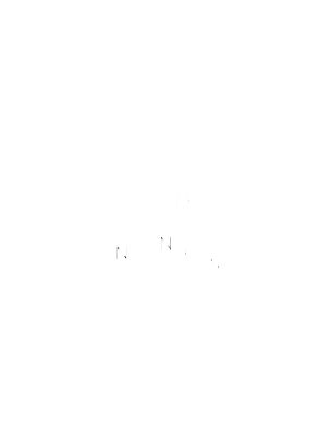 O=C(N=C=S)c1ccccc1.[N]